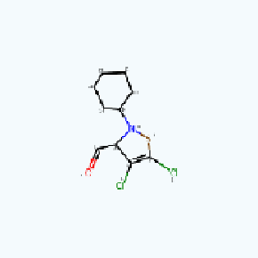 O=CC1C(Cl)=C(Cl)SN1C1CCCCC1